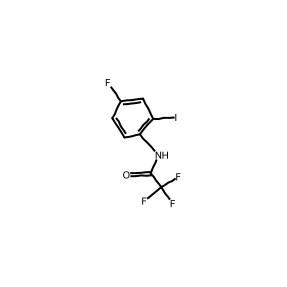 O=C(Nc1ccc(F)cc1I)C(F)(F)F